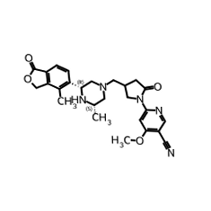 COc1cc(N2CC(CN3C[C@@H](c4ccc5c(c4C)COC5=O)N[C@@H](C)C3)CC2=O)ncc1C#N